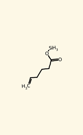 C=CCCCC(=O)O[SiH3]